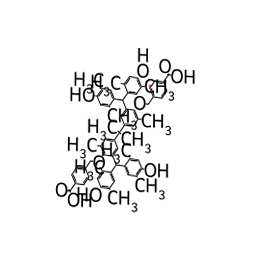 Cc1cc(C(c2cc(C)c(O)cc2C)c2cc(C(C)(C)c3cc(C)c(OCc4ccc(C(=O)O)cc4)c(C(c4cc(C)c(O)cc4C)c4cc(C)c(O)cc4C)c3)cc(C)c2OCc2ccc(C(=O)O)cc2)c(C)cc1O